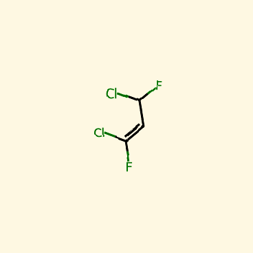 FC(Cl)=CC(F)Cl